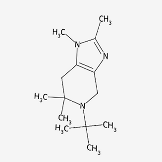 Cc1nc2c(n1C)CC(C)(C)N(C(C)(C)C)C2